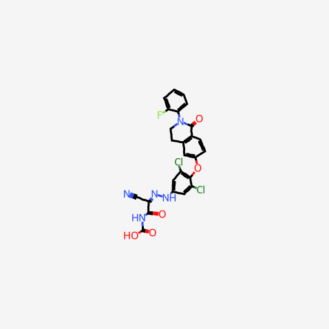 N#CC(=NNc1cc(Cl)c(Oc2ccc3c(c2)CCN(c2ccccc2F)C3=O)c(Cl)c1)C(=O)NC(=O)O